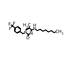 CCCCCCCCNc1nc(=O)n(Cc2ccc(C(F)(F)F)cc2)cc1C